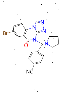 N#Cc1ccc(C(N2CCCC2)n2c(=O)c3cc(Br)ccc3n3cnnc23)cc1